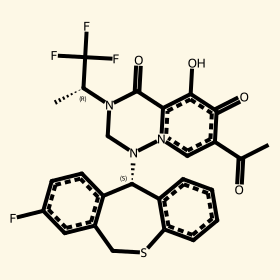 CC(=O)c1cn2c(c(O)c1=O)C(=O)N([C@H](C)C(F)(F)F)CN2[C@H]1c2ccc(F)cc2CSc2ccccc21